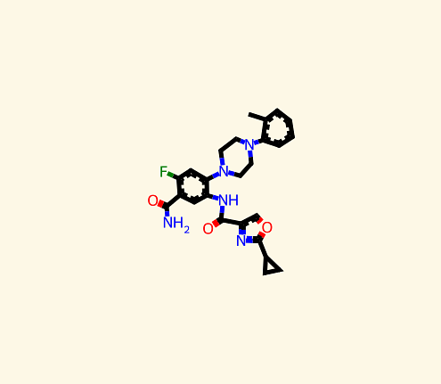 Cc1ccccc1N1CCN(c2cc(F)c(C(N)=O)cc2NC(=O)c2coc(C3CC3)n2)CC1